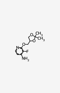 CC1(C)OCC(COc2nccc(N)c2F)O1